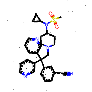 CS(=O)(=O)N(C1CC1)C1CCN(CC(c2cccnc2)(c2cccnc2)c2cccc(C#N)c2)CC1